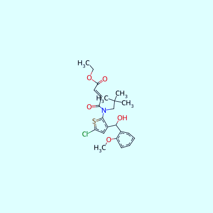 CCOC(=O)C=CC(=O)N(CC(C)(C)C)c1sc(Cl)cc1C(O)c1ccccc1OC